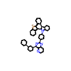 c1ccc(-c2cccc(-c3nc(-c4ccc(-n5c6ccccc6c6c7ccccc7c7sc8ccccc8c7c65)cc4)nc4cccnc34)c2)cc1